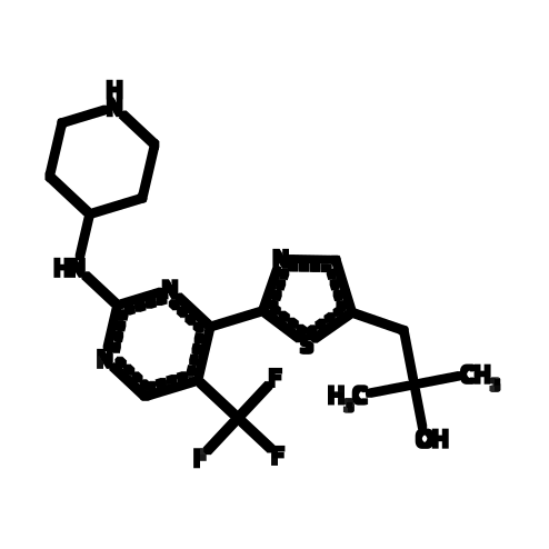 CC(C)(O)Cc1cnc(-c2nc(NC3CCNCC3)ncc2C(F)(F)F)s1